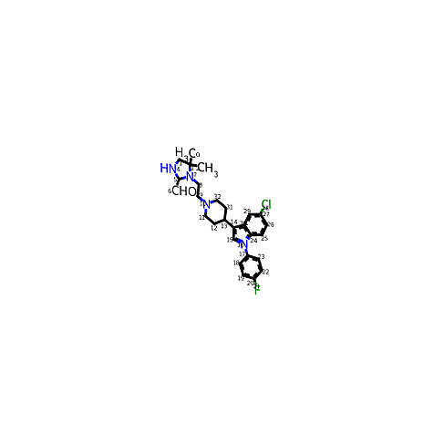 CC1(C)CNC(C=O)N1CCN1CCC(c2cn(-c3ccc(F)cc3)c3ccc(Cl)cc23)CC1